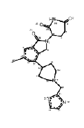 O=C1CCC(N2Cc3c(cc(F)cc3C3CCN(Cc4nccs4)CC3)C2=O)C(=O)N1